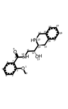 COc1ccccc1C(=O)NC[C@@H](O)[C@@H]1Cc2ccccc2CN1